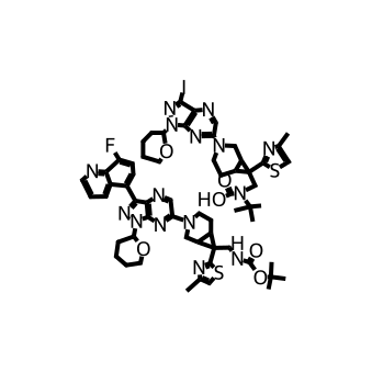 Cc1csc(C2(CN(C(=O)O)C(C)(C)C)C3CCN(c4cnc5c(I)nn(C6CCCCO6)c5n4)CC32)n1.Cc1csc(C2(CNC(=O)OC(C)(C)C)C3CCN(c4cnc5c(-c6ccc(F)c7ncccc67)nn(C6CCCCO6)c5n4)CC32)n1